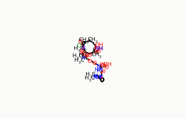 CNN(C)Cc1cc2ccccc2n1CCC(=O)N[C@@H](CS(=O)(=O)O)C(=O)NCCOCCOCCC(=O)N(C)[C@@H](C)C(=O)O[C@H]1CC(=O)N(C)c2cc(cc(OC)c2Cl)C/C(C)=C/C=C/[C@@H](O)[C@@]2(O)C[C@H](OC(=O)N2)[C@@H](C)C2O[C@]21C